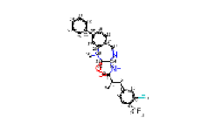 C[C@H](Cc1ccc(C(F)(F)F)c(F)c1)C(=O)N[C@H]1N=Cc2ccc(-c3ccccc3)cc2N(C)C1=O